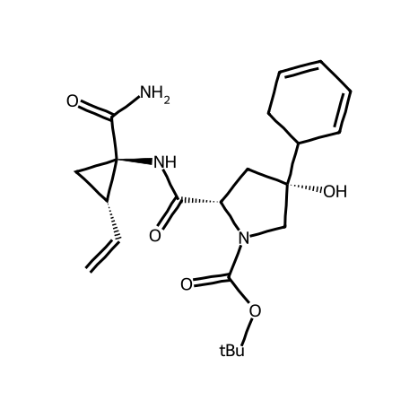 C=C[C@@H]1C[C@]1(NC(=O)[C@@H]1C[C@@](O)(C2C=CC=CC2)CN1C(=O)OC(C)(C)C)C(N)=O